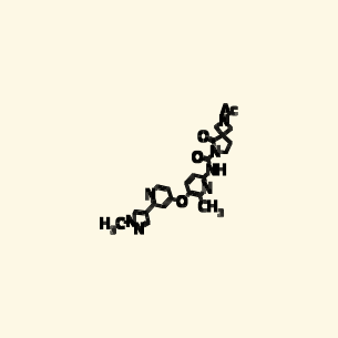 CC(=O)N1CC2(CCN(C(=O)Nc3ccc(Oc4ccnc(-c5cnn(C)c5)c4)c(C)n3)C2=O)C1